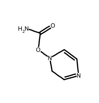 NC(=O)ON1C=CN=CC1